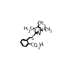 Cc1n(C)c(SCc2ccccc2C(=O)O)n[n+]1C